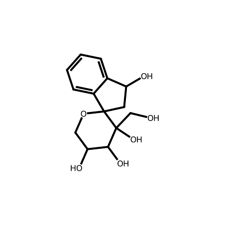 OCC1(O)C(O)C(O)COC12CC(O)c1ccccc12